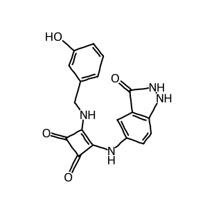 O=c1c(NCc2cccc(O)c2)c(Nc2ccc3[nH][nH]c(=O)c3c2)c1=O